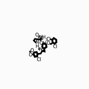 Cn1c(Cc2cc3c(cc2Cl)OCO3)cc2cc(OCc3c(Cl)cccc3Cl)ccc21.NC(=O)[C@]1(C(=O)O)CCCN1